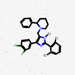 CCc1cccc(CC)c1-c1nc(-c2ccc(F)c(F)c2)c(CN2CCCCC2c2ccccc2)n1CC